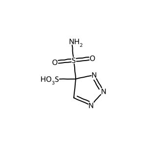 NS(=O)(=O)C1(S(=O)(=O)O)C=NN=N1